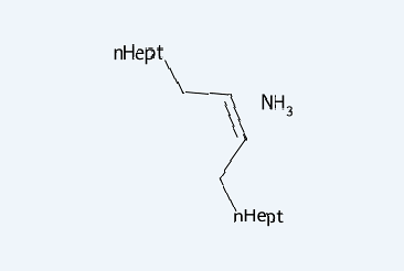 N.[CH2]CCCCCCC/C=C\CCCCCCCC